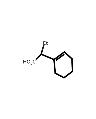 CCC(C(=O)O)C1=CCCCC1